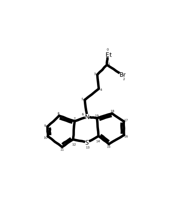 CCC(Br)CCCN1c2ccccc2Sc2ccccc21